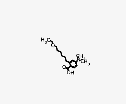 CCOCCCCCCc1cc(N(C)C)ccc1C(=O)O